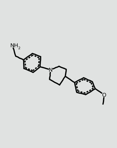 COc1ccc(C2CCN(c3ccc(CN)cc3)CC2)cc1